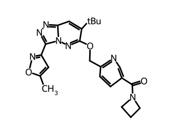 Cc1cc(-c2nnc3cc(C(C)(C)C)c(OCc4ccc(C(=O)N5CCC5)cn4)nn23)no1